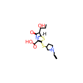 C=CCN1CCC(SC2=C(C(=O)O)N3C(=O)C([C@@H](O)CC)[C@H]3S2)C1